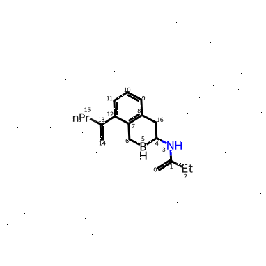 C=C(CC)NC1BCc2c(cccc2C(=C)CCC)C1